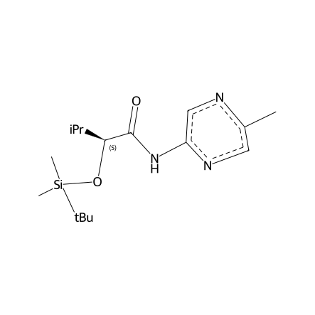 Cc1cnc(NC(=O)[C@@H](O[Si](C)(C)C(C)(C)C)C(C)C)cn1